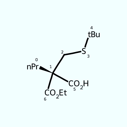 CCC[C@@](CSC(C)(C)C)(C(=O)O)C(=O)OCC